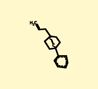 C=CCC12CCC(c3ccccc3)(CC1)CC2